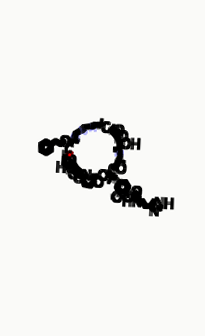 CO[C@@H]1C[C@H](C[C@@H](C)[C@@H]2CC(=O)[C@H](C)/C=C(\C)[C@@H](O)[C@@H](OC)C(=O)[C@H](C)C[C@H](C)/C=C/C=C/C=C(\C)C(OCCc3ccccc3)C[C@@H]3CC[C@@H](C)[C@@](O)(O3)C(=O)C(=O)N3CCCCC3C(=O)O2)CC[C@H]1OC(=O)NCCc1c[nH]cn1